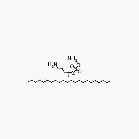 CCCCCCCCCCCCCCCCCCCCCC.COS(=O)(=O)OC(C)(C)CCCN.N